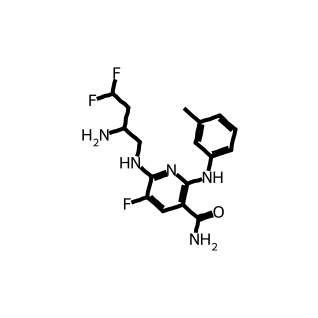 Cc1cccc(Nc2nc(NCC(N)CC(F)F)c(F)cc2C(N)=O)c1